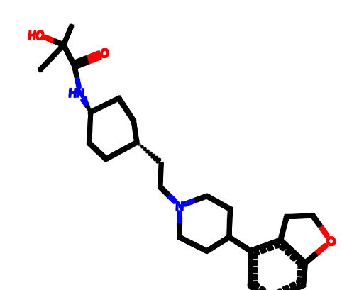 CC(C)(O)C(=O)N[C@H]1CC[C@H](CCN2CCC(c3cccc4c3CCO4)CC2)CC1